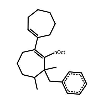 CCCCCCCCC1=C(C2=CCCCCC2)CCCC(C)C1(C)Cc1ccccc1